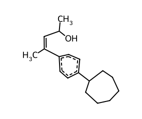 C/C(=C/C(C)O)c1ccc(C2CCCCCC2)cc1